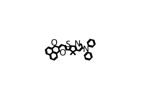 CC1(C)c2cc(N(c3ccccc3)c3ccccc3)cnc2-c2sc(C=c3c(=O)c4cccc5cccc(c3=O)c54)cc21